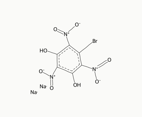 O=[N+]([O-])c1c(O)c([N+](=O)[O-])c(Br)c([N+](=O)[O-])c1O.[Na].[Na]